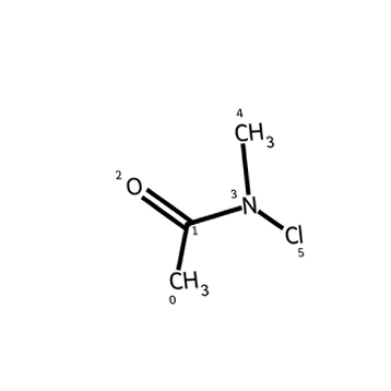 CC(=O)N(C)Cl